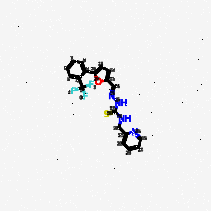 FC(F)(F)c1ccccc1-c1ccc(C=NNC(=S)NCc2ccccn2)o1